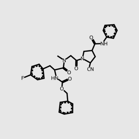 CN(CC(=O)N1CC(C(=O)Nc2ccccc2)CC1C#N)C(=O)C(Cc1ccc(F)cc1)NC(=O)OCc1ccccc1